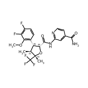 COc1c([C@@H]2[C@H](C(=O)Nc3cc(C(N)=O)ccn3)O[C@](C)(C(F)(F)F)[C@H]2C)ccc(F)c1F